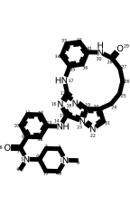 CN1CCC(N(C)C(=O)c2cccc(Nc3nc4nc5c(cnn35)CCCCC(=O)Nc3cccc(c3)N4)c2)CC1